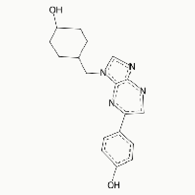 Oc1ccc(-c2cnc3ncn(CC4CCC(O)CC4)c3n2)cc1